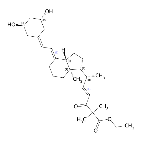 CCOC(=O)C(C)(C)C(=O)/C=C/[C@@H](C)[C@H]1CC[C@H]2/C(=C/C=C3C[C@@H](O)C[C@H](O)C3)CCC[C@]12C